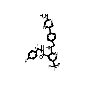 C[C@H](NC(=O)c1cc(C(F)(F)F)cnc1NCc1ccc(-c2cnc(N)cn2)cc1)c1ccc(F)cc1